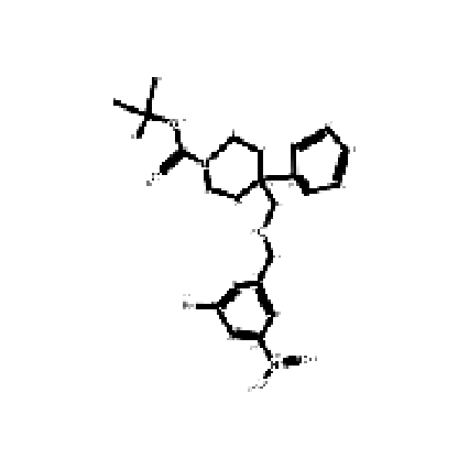 CC(C)(C)OC(=O)N1CCC(COCc2cc(Br)cc([N+](=O)[O-])c2)(c2ccccc2)CC1